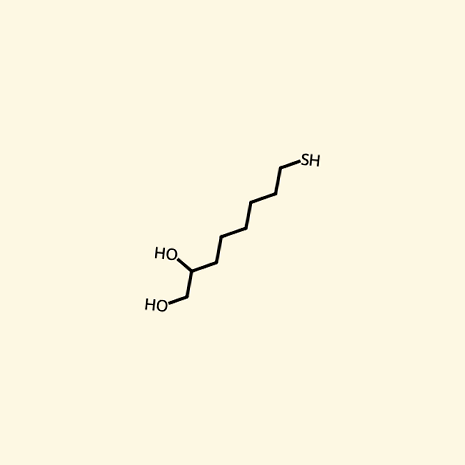 OCC(O)CCCCCCS